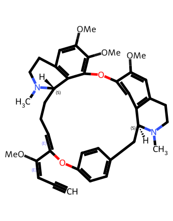 C#C/C=C(OC)\C1=C/CC[C@H]2c3c(cc(OC)c(OC)c3Oc3cc4c(cc3OC)CCN(C)[C@H]4Cc3ccc(cc3)O1)CCN2C